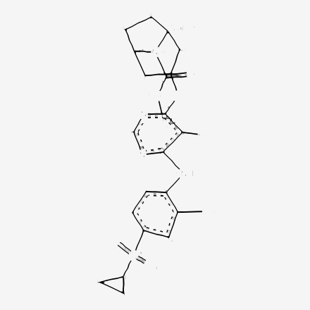 Cc1c(Nc2ccc(S(=O)(=O)C3CC3)cc2F)ncnc1OC1CC2CC[C@@H](C1)N2C(=O)OC(C)(C)C